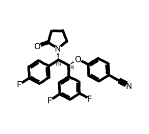 N#Cc1ccc(O[C@H](c2cc(F)cc(F)c2)[C@H](c2ccc(F)cc2)N2CCCC2=O)cc1